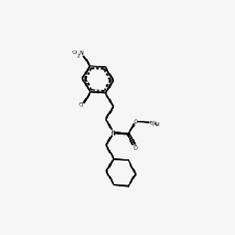 CC(C)(C)OC(=O)N(CCc1ccc([N+](=O)[O-])cc1Cl)CC1CCCCC1